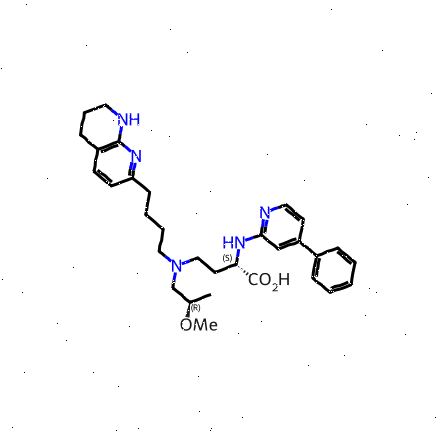 CO[C@H](C)CN(CCCCc1ccc2c(n1)NCCC2)CC[C@H](Nc1cc(-c2ccccc2)ccn1)C(=O)O